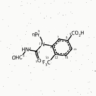 CCCN(C(=O)NC=O)c1cc(C(=O)O)ccc1C(F)(F)F